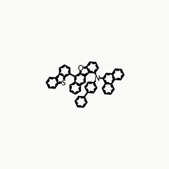 c1ccc(-c2ccc(N(c3cc4ccccc4c4ccccc34)c3cccc4oc5c(-c6cccc7c6sc6ccccc67)c6ccccc6cc5c34)cc2)cc1